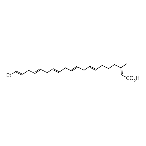 CCC=CCC=CCC=CCC=CCC=CCCCC(C)=CC(=O)O